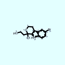 CCC1(CCO)OCCc2c1[nH]c1ccc(Br)cc21